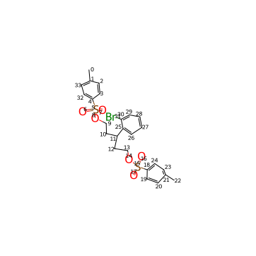 Cc1ccc(S(=O)(=O)OCCC(CCOS(=O)(=O)c2ccc(C)cc2)c2ccccc2Br)cc1